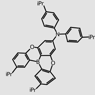 CC(C)c1ccc(N(c2ccc(C(C)C)cc2)c2cc3c4c(c2)Oc2ccc(C(C)C)cc2B4c2cc(C(C)C)ccc2O3)cc1